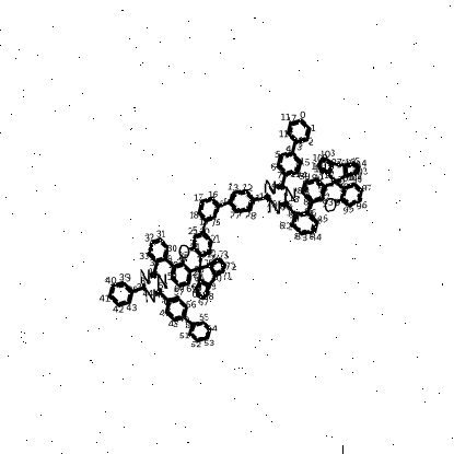 c1ccc(-c2ccc(-c3nc(-c4ccc(-c5cccc(-c6ccc7c(c6)Oc6c(-c8ccccc8-c8nc(-c9ccccc9)nc(-c9ccc(-c%10ccccc%10)cc9)n8)cccc6C76c7ccccc7-c7ccccc76)c5)cc4)nc(-c4ccccc4-c4cccc5c4Oc4ccccc4C54c5ccccc5-c5ccccc54)n3)cc2)cc1